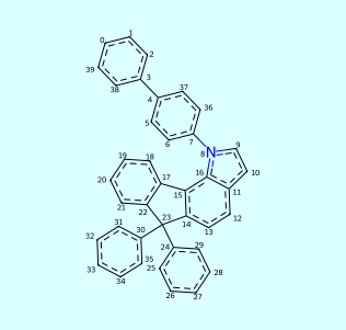 c1ccc(-c2ccc(-n3ccc4ccc5c(c43)-c3ccccc3C5(c3ccccc3)c3ccccc3)cc2)cc1